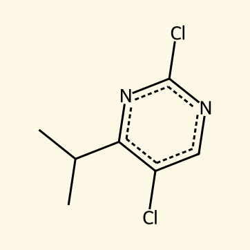 CC(C)c1nc(Cl)ncc1Cl